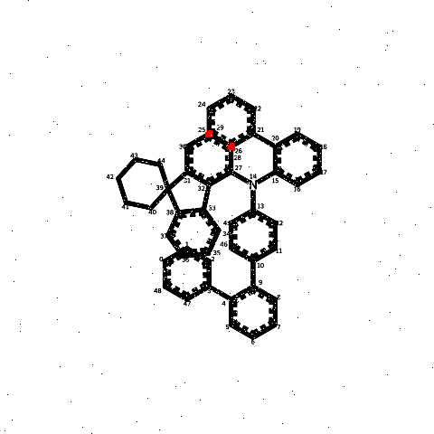 c1ccc(-c2ccccc2-c2ccc(N(c3ccccc3-c3ccccc3)c3cccc4c3-c3ccccc3C43CCCCC3)cc2)cc1